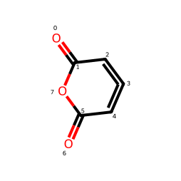 O=C1C=C=CC(=O)O1